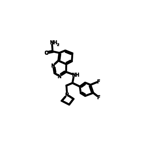 NC(=O)c1cccc2c(NC(CN3CCC3)c3ccc(F)c(F)c3)ncnc12